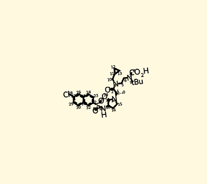 C[C@@H](C(=O)N(CCN(C(=O)O)C(C)(C)C)CC1CC1)N1CC[C@H](NS(=O)(=O)c2ccc3cc(Cl)ccc3c2)C1=O